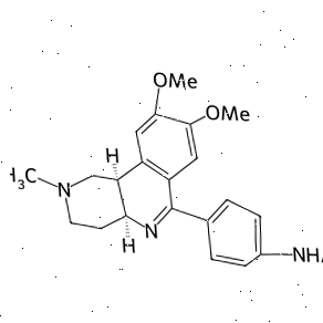 COc1cc2c(cc1OC)[C@@H]1CN(C)CC[C@@H]1N=C2c1ccc(NC(C)=O)cc1